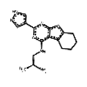 C[C@H](N)CNc1nc(-c2cn[nH]c2)nc2sc3c(c12)CCCC3